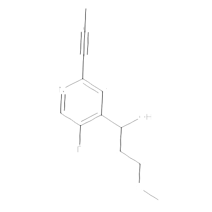 CC#Cc1cc(C(O)CCOC)c(F)cn1